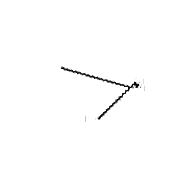 C=C(CCC(CCCCCCCCCCCCCCCCCCCC)CCCCCCCCCCCCCCCCCCCCCCCCCCCCCCCC)C(=O)O